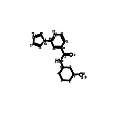 O=C(NC1CCCC(C(F)(F)F)C1)c1ccnc(-n2ccnc2)c1